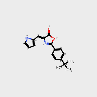 CC(C)(C#N)c1ccc(C2=N/C(=C\c3ccc[nH]3)C(=O)O2)cc1